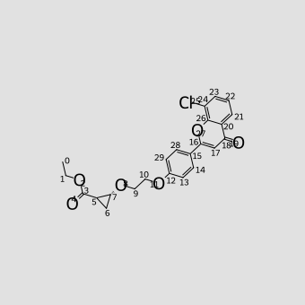 CCOC(=O)C1C[C@H]1OCCOc1ccc(-c2cc(=O)c3cccc(Cl)c3o2)cc1